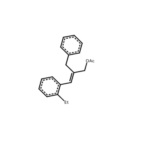 CCc1ccccc1C=C(COC(C)=O)Cc1ccccc1